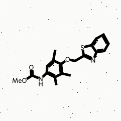 COC(=O)Nc1cc(C)c(OCc2nc3ccccc3s2)c(C)c1C